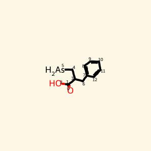 O=C(O)C(C[AsH2])Cc1ccccc1